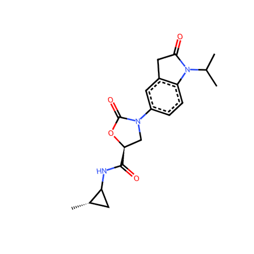 CC(C)N1C(=O)Cc2cc(N3C[C@@H](C(=O)NC4C[C@@H]4C)OC3=O)ccc21